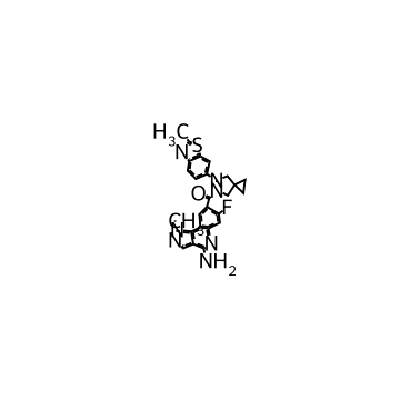 Cc1nc2ccc(N3CC4(CC4)CN3C(=O)c3cc4c(cc3F)nc(N)c3cnn(C)c34)cc2s1